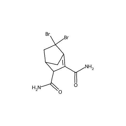 NC(=O)C1=C2CC(CC2(Br)Br)C1C(N)=O